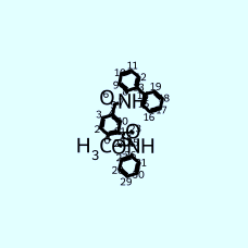 Cc1ccc(C(=O)Nc2ccccc2-c2ccccc2)cc1S(=O)(=O)Nc1ccccc1